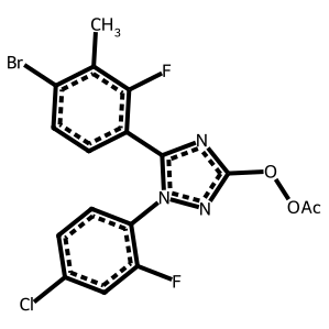 CC(=O)OOc1nc(-c2ccc(Br)c(C)c2F)n(-c2ccc(Cl)cc2F)n1